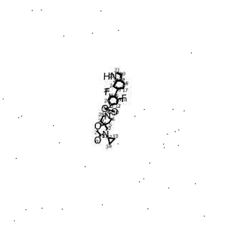 O=C1COC2(CCN(S(=O)(=O)c3cc(F)c(-c4ccc5cc[nH]c5c4)c(F)c3)CC2)CN1C1CC1